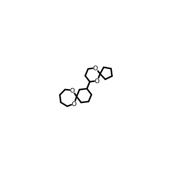 C1CCOC2(CCCC(C3CCOC4(CCCC4)O3)C2)OC1